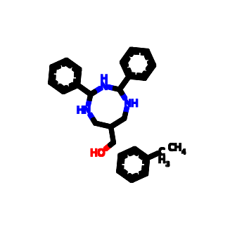 C.Cc1ccccc1.OCC1CNC(c2ccccc2)NC(c2ccccc2)NC1